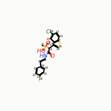 CP(=O)(O)C(C(=O)NC=Cc1ccc(F)cc1)c1csc2ccc(Cl)cc12